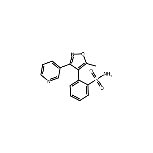 Cc1onc(-c2cccnc2)c1-c1ccccc1S(N)(=O)=O